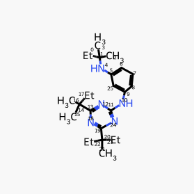 CCC(C)(C)Nc1cccc(Nc2nc(C(C)(C)CC)nc(C(C)(CC)CC)n2)c1